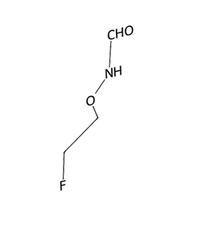 O=CNOCCF